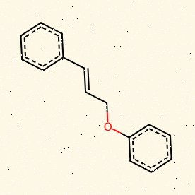 [c]1cccc(OCC=Cc2ccccc2)c1